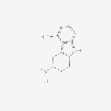 Cc1cccc2[nH]c3c(c12)CC(N(C)C)CC3